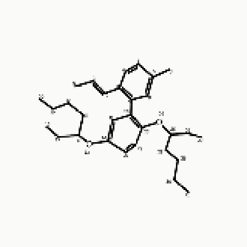 C/C=C/c1ccc(C)cc1-c1cc(OC(CC)CCCC)ccc1OC(CC)CCCC